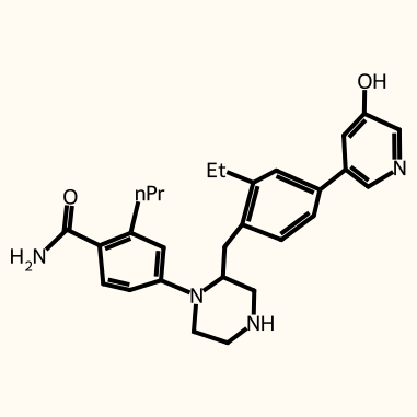 CCCc1cc(N2CCNCC2Cc2ccc(-c3cncc(O)c3)cc2CC)ccc1C(N)=O